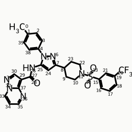 Cc1ccc(-n2nc(C3CCN(S(=O)(=O)c4cccc(C(F)(F)F)c4)CC3)cc2NC(=O)c2cnn3cccnc23)cc1